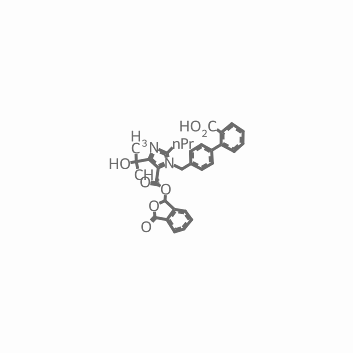 CCCc1nc(C(C)(C)O)c(C(=O)OC2OC(=O)c3ccccc32)n1Cc1ccc(-c2ccccc2C(=O)O)cc1